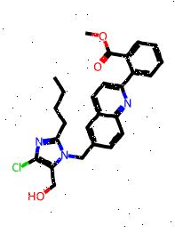 CCCCc1nc(Cl)c(CO)n1Cc1ccc2nc(-c3ccccc3C(=O)OC)ccc2c1